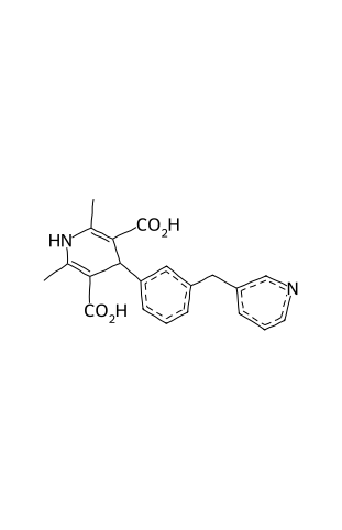 CC1=C(C(=O)O)C(c2cccc(Cc3cccnc3)c2)C(C(=O)O)=C(C)N1